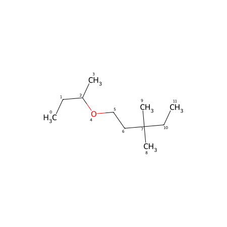 CCC(C)OCCC(C)(C)CC